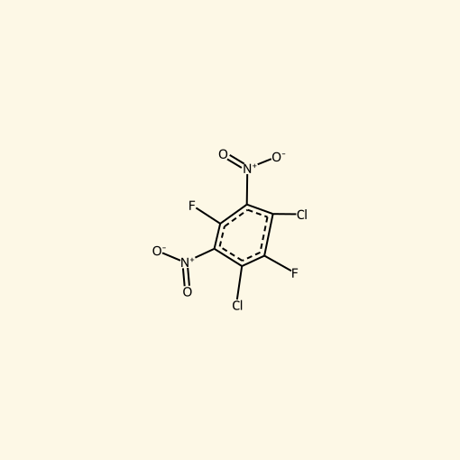 O=[N+]([O-])c1c(F)c([N+](=O)[O-])c(Cl)c(F)c1Cl